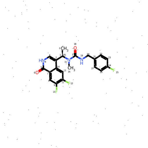 C[C@H](c1c[nH]c(=O)c2cc(F)c(F)cc12)N(C)C(=O)NCc1ccc(F)cc1